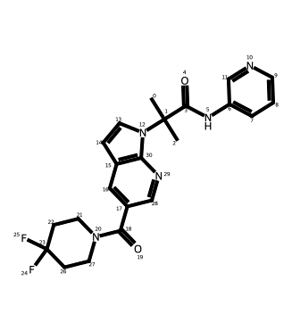 CC(C)(C(=O)Nc1cccnc1)n1ccc2cc(C(=O)N3CCC(F)(F)CC3)cnc21